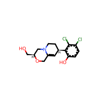 OC[C@H]1CN2CC[C@@H](c3c(O)ccc(Cl)c3Cl)C=C2CO1